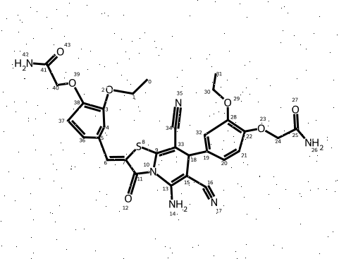 CCOc1cc(C=c2sc3n(c2=O)C(N)=C(C#N)C(c2ccc(OCC(N)=O)c(OCC)c2)C=3C#N)ccc1OCC(N)=O